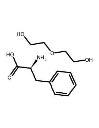 N[C@@H](Cc1ccccc1)C(=O)O.OCCOCCO